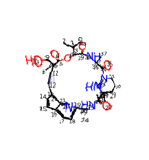 CC(C)[C@@H]1OC(=O)[C@@](C)(CO)/C=C/c2ccc3ccc(nc3c2)[C@@H](C)NC(=O)[C@@H]2CCCN(N2)C(=O)[C@H](C)NC1=O